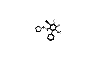 C#Cc1c(Cl)c(F)c(C(C)=O)c(-c2ccccc2)c1N=NN1CCCC1